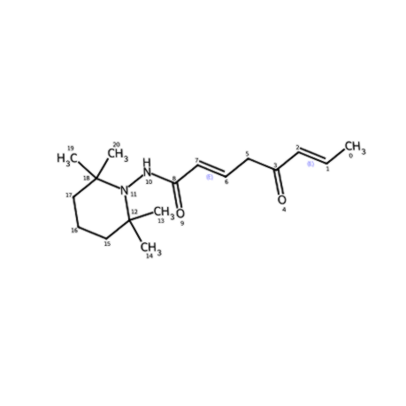 C/C=C/C(=O)C/C=C/C(=O)NN1C(C)(C)CCCC1(C)C